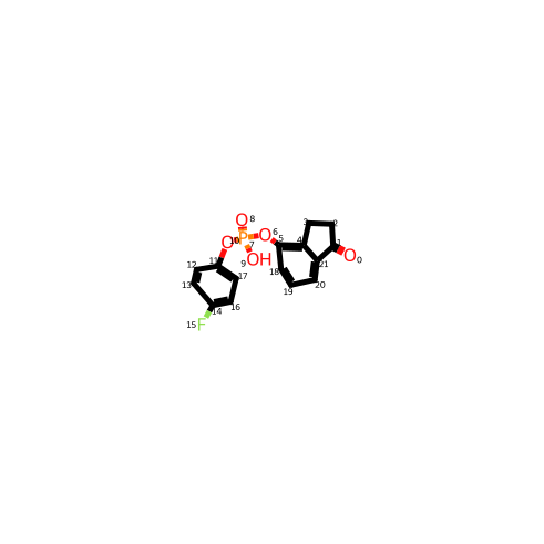 O=C1CCc2c(OP(=O)(O)Oc3ccc(F)cc3)cccc21